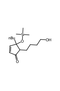 CCCCC1(O[Si](C)(C)C)C=CC(=O)C1CCCCO